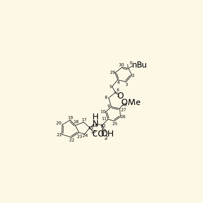 CCCCc1ccc(CC(=O)Cc2cc(C(=O)NC3(C(=O)O)Cc4ccccc4C3)ccc2OC)cc1